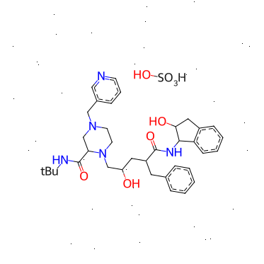 CC(C)(C)NC(=O)C1CN(Cc2cccnc2)CCN1CC(O)CC(Cc1ccccc1)C(=O)NC1c2ccccc2CC1O.O=S(=O)(O)O